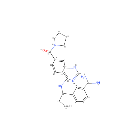 N=C(N)c1cccc(C(CC(=O)O)Nc2ncnc3cc(C(=O)N4CCCC4)ccc23)c1